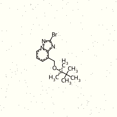 CC(C)(C)[Si](C)(C)OCc1cccn2nc(Br)nc12